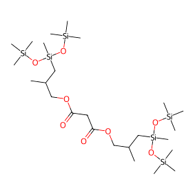 CC(COC(=O)CC(=O)OCC(C)C[Si](C)(O[Si](C)(C)C)O[Si](C)(C)C)C[Si](C)(O[Si](C)(C)C)O[Si](C)(C)C